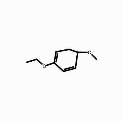 CCOC1=CC[C](OC)C=C1